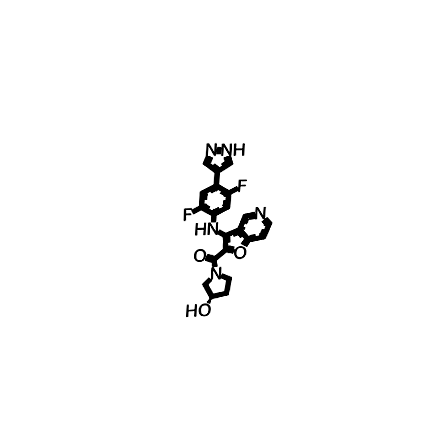 O=C(c1oc2ccncc2c1Nc1cc(F)c(-c2cn[nH]c2)cc1F)N1CC[C@@H](O)C1